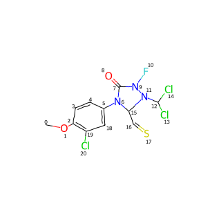 COc1ccc(N2C(=O)N(F)N(C(Cl)Cl)C2C=S)cc1Cl